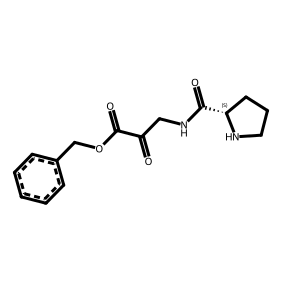 O=C(CNC(=O)[C@@H]1CCCN1)C(=O)OCc1ccccc1